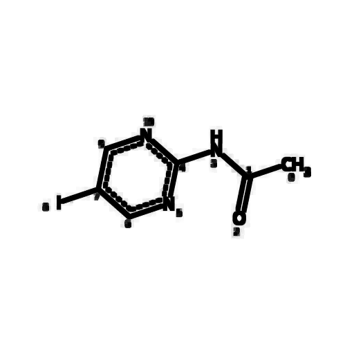 CC(=O)Nc1ncc(I)cn1